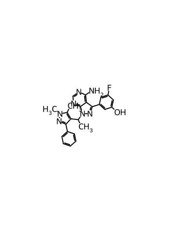 Cc1c(C(C)n2nc(-c3cc(O)cc(F)c3)c3c(N)ncnc32)c(-c2ccccc2)nn1C